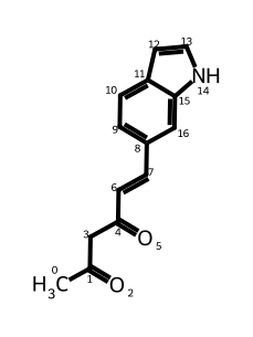 CC(=O)CC(=O)C=Cc1ccc2cc[nH]c2c1